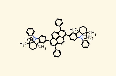 CC1(C)CCCC2(C)c3cc(-c4cc(-c5ccccc5)c5ccc6c(-c7ccc8c(c7)C7(C)CCCC(C)(C)C7(C)N8c7ccccc7)cc(-c7ccccc7)c7ccc4c5c76)ccc3N(c3ccccc3)C12C